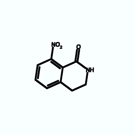 O=C1NCCc2cccc([N+](=O)[O-])c21